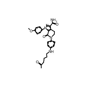 COc1ccc(-n2nc(C(N)=O)c3c2C(=O)N(c2ccc(NCCCCC(C)=O)cc2)CC3)cc1